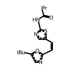 CC(C)C(=O)Nc1ncc(/C=C\c2ncc(C(C)(C)C)o2)s1